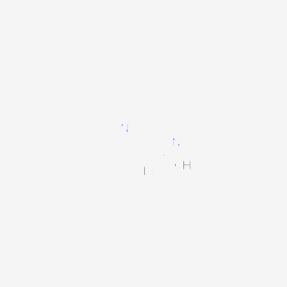 CC1(C)CC(N2CCCCC2)=CC=N1